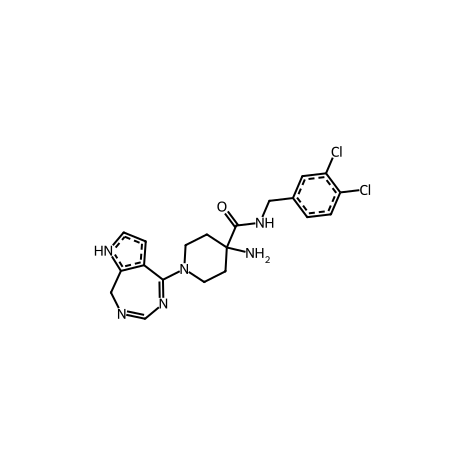 NC1(C(=O)NCc2ccc(Cl)c(Cl)c2)CCN(C2=NC=NCc3[nH]ccc32)CC1